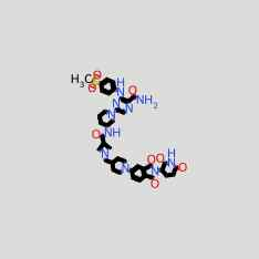 CS(=O)(=O)c1ccc(Nc2nc(N3CCCC(NC(=O)C4CN(CC5CCN(c6ccc7c(c6)C(=O)N(C6CCC(=O)NC6=O)C7=O)CC5)C4)C3)cnc2C(N)=O)cc1